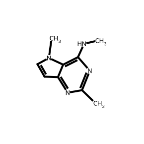 CNc1nc(C)nc2ccn(C)c12